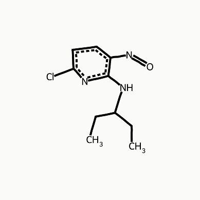 CCC(CC)Nc1nc(Cl)ccc1N=O